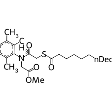 CCCCCCCCCCCCCCCC(=O)SCC(=O)N(CC(=O)OC)c1c(C)ccc(C)c1C